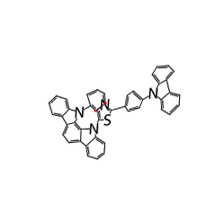 c1ccc(-n2c3ccccc3c3ccc4c5ccccc5n(-c5cnc(-c6ccc(-n7c8ccccc8c8ccccc87)cc6)s5)c4c32)cc1